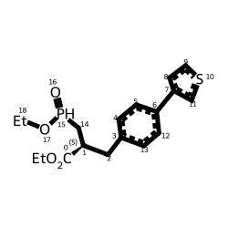 CCOC(=O)[C@H](Cc1ccc(-c2ccsc2)cc1)C[PH](=O)OCC